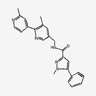 Cc1cc(-c2ncc(CNC(=O)c3cc(-c4ccccc4)n(C)n3)cc2C)ccn1